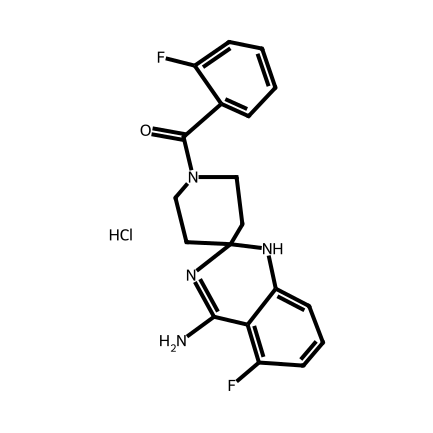 Cl.NC1=NC2(CCN(C(=O)c3ccccc3F)CC2)Nc2cccc(F)c21